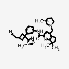 C[C@H]1CCCN(Cc2cc(C(=O)Nc3cccc(C4(c5nncn5C)CC(CC#N)C4)c3)nc3c2CCC3(C)C)C1